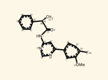 COc1cc(-c2cc(NC(=O)[C@H](C)c3ccccc3)ncn2)ccc1F